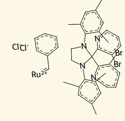 Cc1cc(C)c(N2CCN(c3c(C)cc(C)cc3C)C2(c2ncccc2Br)c2ncccc2Br)c(C)c1.[Cl-].[Cl-].[Ru+2]=[CH]c1ccccc1